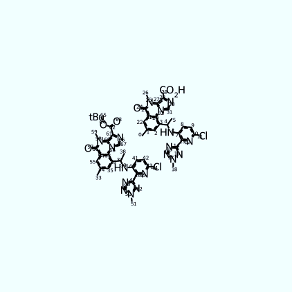 Cc1cc(C(C)Nc2ccc(Cl)nc2-c2nnn(C)n2)c2c(c1)c(=O)n(C)c1c(C(=O)O)ncn21.Cc1cc(C(C)Nc2ccc(Cl)nc2-c2nnn(C)n2)c2c(c1)c(=O)n(C)c1c(C(=O)OC(C)(C)C)ncn21